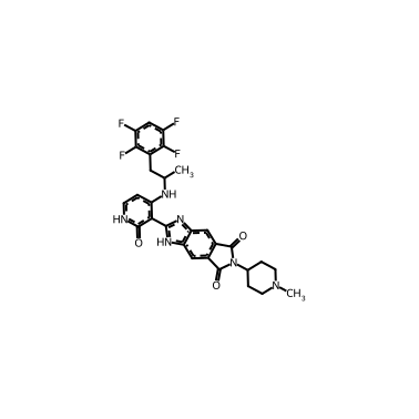 CC(Cc1c(F)c(F)cc(F)c1F)Nc1cc[nH]c(=O)c1-c1nc2cc3c(cc2[nH]1)C(=O)N(C1CCN(C)CC1)C3=O